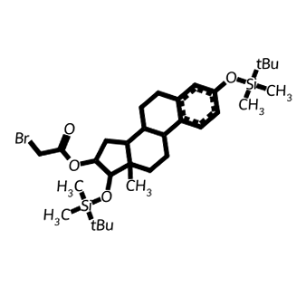 CC12CCC3c4ccc(O[Si](C)(C)C(C)(C)C)cc4CCC3C1CC(OC(=O)CBr)C2O[Si](C)(C)C(C)(C)C